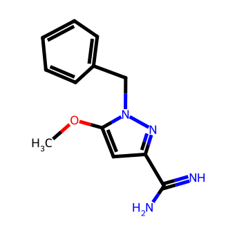 COc1cc(C(=N)N)nn1Cc1ccccc1